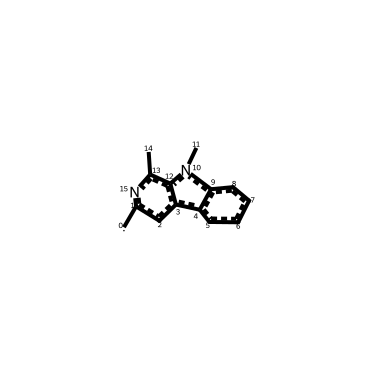 [CH2]c1cc2c3ccccc3n(C)c2c(C)n1